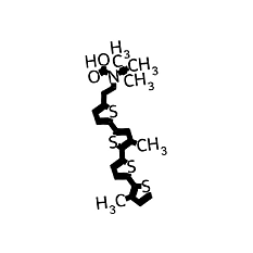 Cc1ccsc1-c1ccc(-c2sc(-c3ccc(CCN(C(=O)O)C(C)(C)C)s3)cc2C)s1